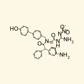 NCCC[C@@H](C(=O)NC(N)=N[N+](=O)[O-])N(Cc1ccc(-c2ccc(O)cc2)cc1)C(=O)C(c1ccccc1)c1ccccc1